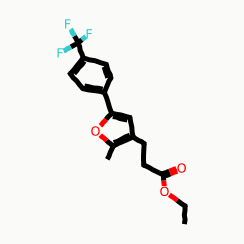 CCOC(=O)CCc1cc(-c2ccc(C(F)(F)F)cc2)oc1C